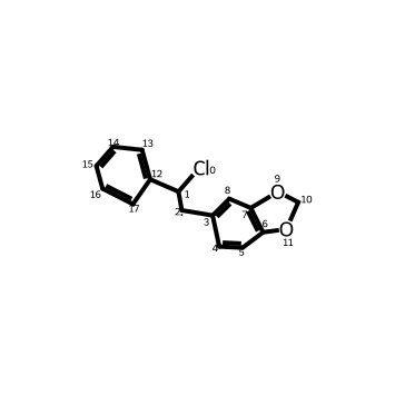 ClC([CH]c1ccc2c(c1)OCO2)c1ccccc1